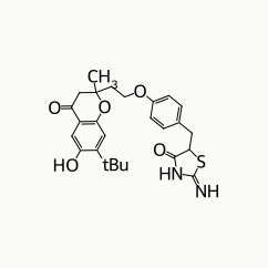 CC1(CCOc2ccc(CC3SC(=N)NC3=O)cc2)CC(=O)c2cc(O)c(C(C)(C)C)cc2O1